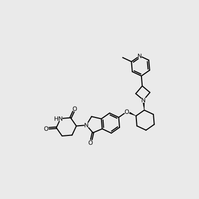 Cc1cc(C2CN([C@H]3CCCC[C@H]3Oc3ccc4c(c3)CN(C3CCC(=O)NC3=O)C4=O)C2)ccn1